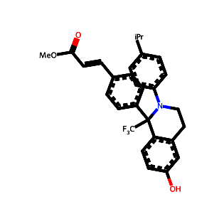 COC(=O)/C=C/c1ccc(C2(C(F)(F)F)c3ccc(O)cc3CCN2c2ccc(C(C)C)cc2)cc1